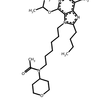 CCCCc1nc2c(N)nnc(OC(C)C)c2n1CCCCCCN(C(C)=O)C1CCOCC1